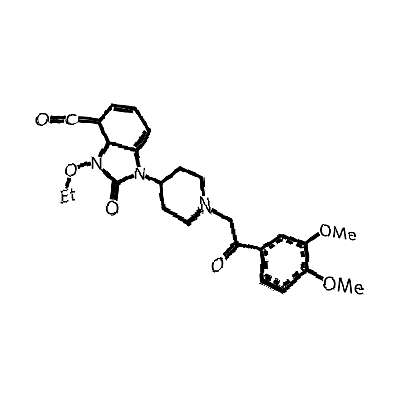 CCON1C(=O)N(C2CCN(CC(=O)c3ccc(OC)c(OC)c3)CC2)C2=CC=CC(=C=O)C21